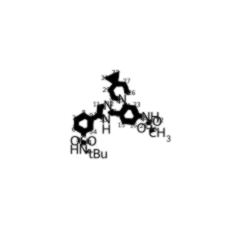 CC(C)(C)NS(=O)(=O)c1cccc(-c2cnc(-c3ccc(NS(C)(=O)=O)cc3N3CCC4(CC3)CC4)[nH]2)c1